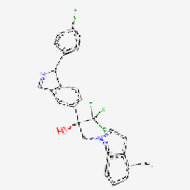 Cc1cccc2c1ccn2CC(O)(c1ccc2c(c1)C=NC2c1ccc(F)cc1)C(F)(F)F